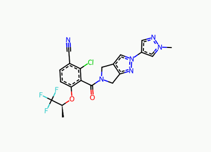 C[C@H](Oc1ccc(C#N)c(Cl)c1C(=O)N1Cc2cn(-c3cnn(C)c3)nc2C1)C(F)(F)F